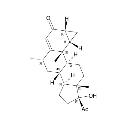 CC(=O)[C@@]1(O)CC[C@H]2[C@@H]3C[C@H](C)C4=CC(=O)[C@@H]5C[C@@H]5[C@]4(C)[C@H]3CC[C@@]21C